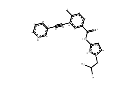 Cc1ccc(C(=O)Nc2ccn(CC(F)F)n2)cc1C#Cc1cccnc1